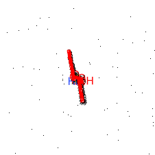 CCCCCCCCCCCCCCCCCC(=O)O[C@H](COC)CSCC(NC(=O)CCCCCCCCCCCCCCC)C(=O)O